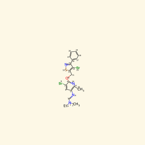 CCN(C)/C=N/c1cc(Br)c(OCc2snc(-c3ccccc3)c2Br)nc1C